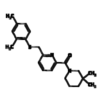 Cc1ccc(SCc2cccc(C(=O)N3CCCC(C)(C)C3)n2)c(C)c1